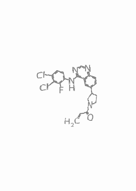 C=CC(=O)N1CCC(c2ccc3ncnc(Nc4ccc(Cl)c(Cl)c4F)c3c2)C1